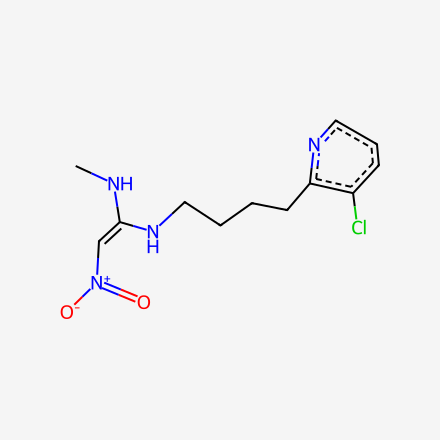 CN/C(=C/[N+](=O)[O-])NCCCCc1ncccc1Cl